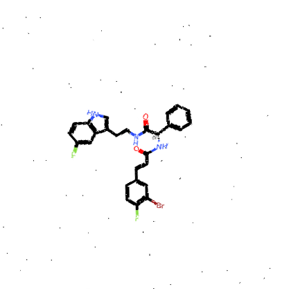 O=C(C=Cc1ccc(F)c(Br)c1)N[C@H](C(=O)NCCc1c[nH]c2ccc(F)cc12)c1ccccc1